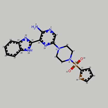 Nc1ncc(N2CCN(S(=O)(=O)c3cccs3)CC2)nc1-c1nc2ccccc2[nH]1